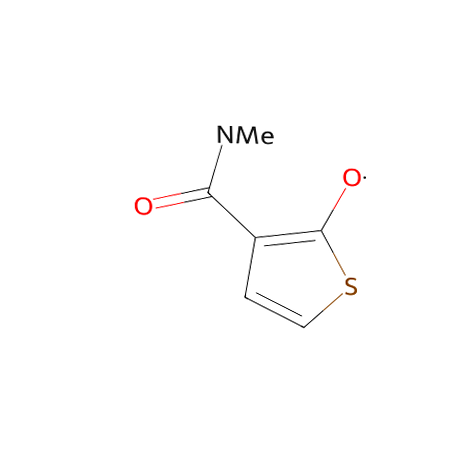 CNC(=O)c1ccsc1[O]